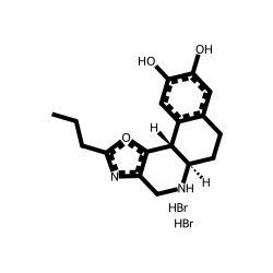 Br.Br.CCCc1nc2c(o1)[C@@H]1c3cc(O)c(O)cc3CC[C@H]1NC2